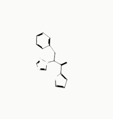 O=C(c1cccs1)C(Cc1ccccc1)n1cncn1